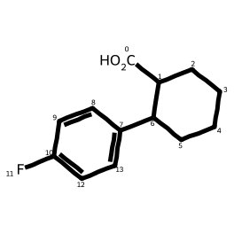 O=C(O)C1CCCCC1c1ccc(F)cc1